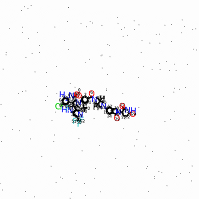 COc1cc(C(=O)N2C[C@@H]3CN(c4ccc5c(c4)CN(C4CCC(=O)NC4=O)C5=O)C[C@@H]3C2)ccc1N1[C@@H](CC(C)(C)C)[C@@]2(CNc3cc(C(F)(F)F)ncc32)[C@@H](c2cccc(Cl)c2F)[C@@H]1C(N)=O